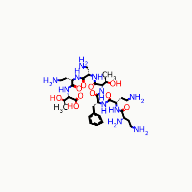 C[C@@H](O)[C@H](NC(=O)[C@H](CCN)NC(=O)[C@H](CN)NC(=O)[C@@H](NC(=O)[C@@H](Cc1ccccc1)NC(=O)[C@H](CCN)NC(=O)[C@@H](N)CCN)[C@@H](C)O)C(=O)O